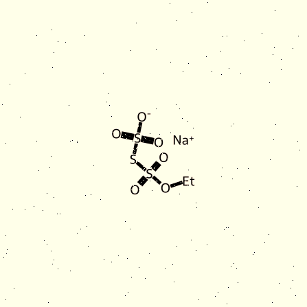 CCOS(=O)(=O)SS(=O)(=O)[O-].[Na+]